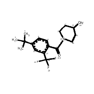 CC(C)(C)c1ccc(C(=O)N2CCC(O)CC2)c(C(F)(F)F)c1